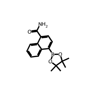 CC1(C)OB(c2ccc(C(N)=O)c3ccccc23)OC1(C)C